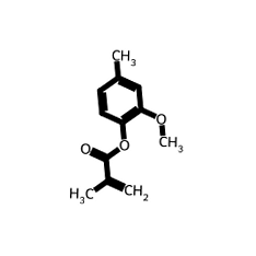 C=C(C)C(=O)Oc1ccc(C)cc1OC